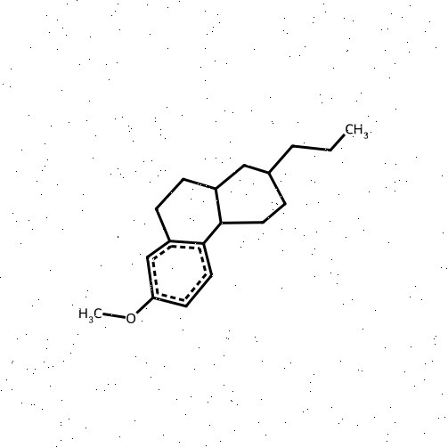 CCCC1CCC2c3ccc(OC)cc3CCC2C1